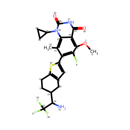 COc1c(F)c(-c2cc3c(s2)CCC(C(N)C(F)(F)F)C3)c(C)c2c1c(=O)[nH]c(=O)n2C1CC1